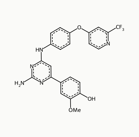 COc1cc(-c2cc(Nc3ccc(Oc4ccnc(C(F)(F)F)c4)cc3)nc(N)n2)ccc1O